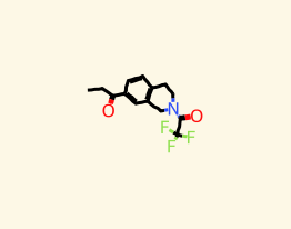 CCC(=O)c1ccc2c(c1)CN(C(=O)C(F)(F)F)CC2